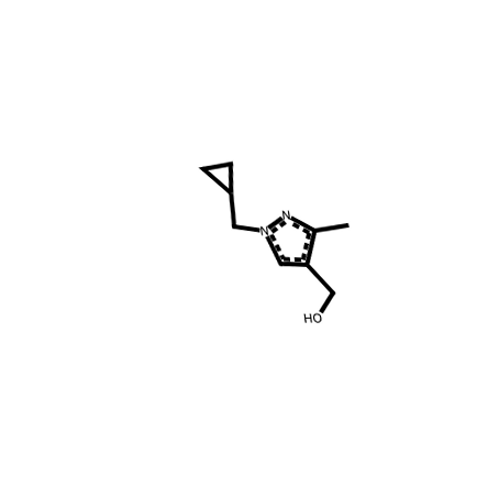 Cc1nn(CC2CC2)cc1CO